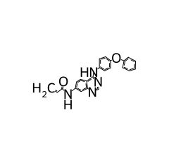 C=CC(=O)Nc1ccc2c(Nc3ccc(Oc4ccccc4)cc3)ncnc2c1